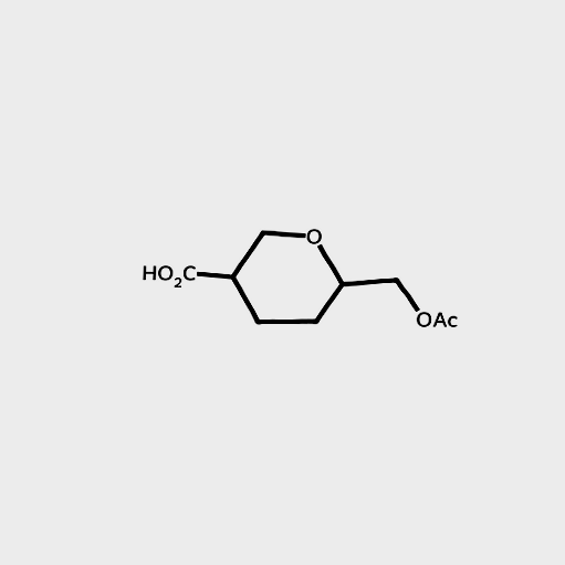 CC(=O)OCC1CCC(C(=O)O)CO1